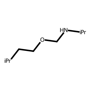 CC(C)CCOCNC(C)C